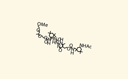 COCCOCC(C)OCCOC(=O)NC1CC(C)(C)CC(C)(CNC(=O)Nc2nc(=O)c(CCOC(=O)NCC3(C)CC(NC(C)=O)CC(C)(C)C3)c(C)[nH]2)C1